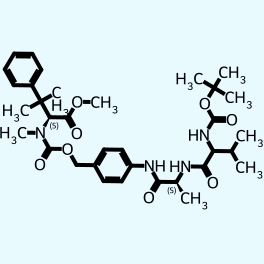 COC(=O)[C@@H](N(C)C(=O)OCc1ccc(NC(=O)[C@H](C)NC(=O)C(NC(=O)OC(C)(C)C)C(C)C)cc1)C(C)(C)c1ccccc1